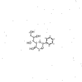 OC[C@@H](O)[C@@H](O)[C@@H]1OC(c2ccccc2)OC[C@H]1O